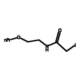 CCCOCCNC(=O)CI